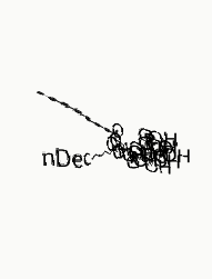 C#CC#CC#CC#CC#CC#CC#CC(=O)OC[C@H](COP(=O)(O)OC1C(O)[C@@H](OP(=O)(O)O)C(OP(=O)(O)O)[C@@H](O)[C@H]1O)OC(=O)CCCCCCCCCCCCCCC